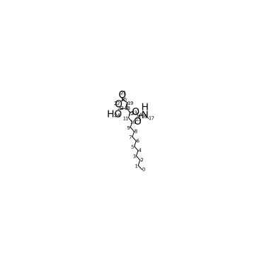 CCCCCCCCCCCCC(OC(=O)NC)C1=CC(=O)OC1O